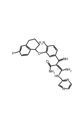 N=C(/C(C(N)=O)=C(\N)Nc1cnccn1)c1ccc(N)c(OC2CCCc3cc(F)ccc32)c1